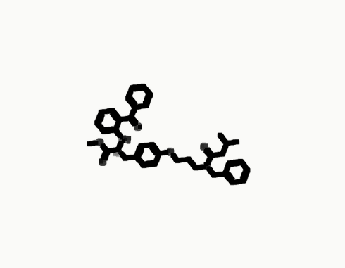 COC(=O)[C@H](Cc1ccc(OCCCN(Cc2ccccc2)C(=O)CC(C)C)cc1)Nc1ccccc1C(=O)c1ccccc1